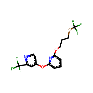 FC(F)(F)SCCCOc1cccc(Oc2ccnc(C(F)(F)F)c2)n1